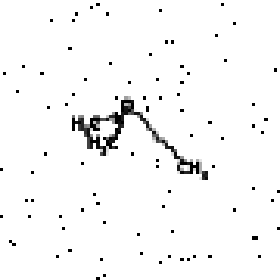 CCCCCCCCCCCCC1OC1N(CCCC)CCCC